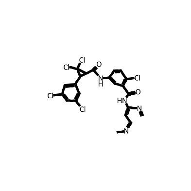 C=N/C(=C\C=N/C)NC(=O)c1cc(NC(=O)C2C(c3cc(Cl)cc(Cl)c3)C2(Cl)Cl)ccc1Cl